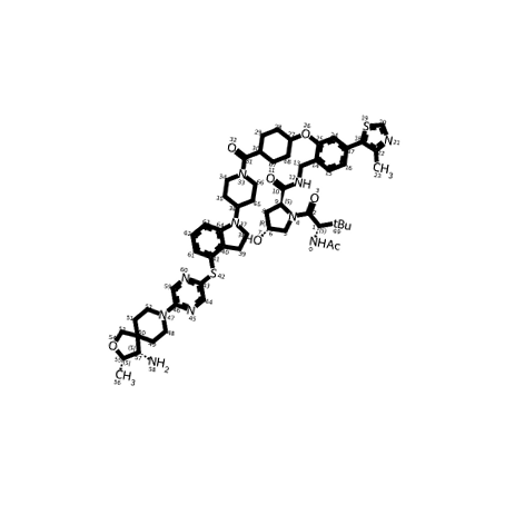 CC(=O)N[C@H](C(=O)N1C[C@H](O)C[C@H]1C(=O)NCc1ccc(-c2scnc2C)cc1OC1CCC(C(=O)N2CCC(N3CCc4c(Sc5cnc(N6CCC7(CC6)CO[C@@H](C)[C@H]7N)cn5)cccc43)CC2)CC1)C(C)(C)C